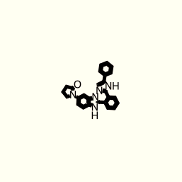 O=C1CCCN1c1ccc2[nH]c(-c3ccccc3-c3ncc(-c4ccccc4)[nH]3)nc2c1